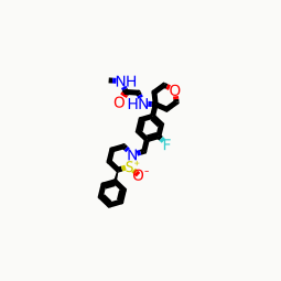 CNC(=O)CNC1(c2ccc(CN3CCC[C@H](c4ccccc4)[S+]3[O-])c(F)c2)CCOCC1